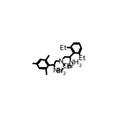 CCc1cccc(CC)c1C(N)C[N](CC(N)c1c(C)cc(C)cc1C)[Co]([Br])[Br]